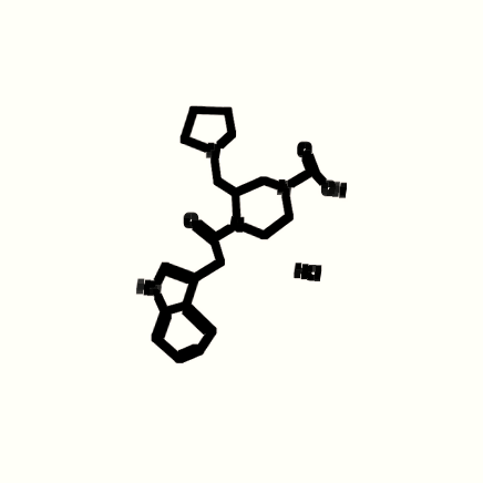 Cl.O=C(O)N1CCN(C(=O)Cc2c[nH]c3ccccc23)C(CN2CCCC2)C1